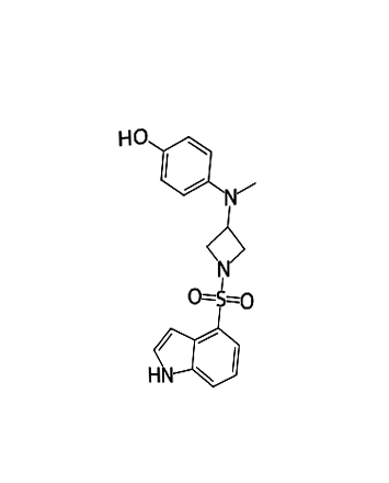 CN(c1ccc(O)cc1)C1CN(S(=O)(=O)c2cccc3[nH]ccc23)C1